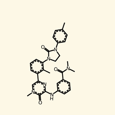 Cc1ccc(N2CCN(c3cccc(-c4cn(C)c(=O)c(Nc5cccc(C(=O)N(C)C)c5)n4)c3C)C2=O)cc1